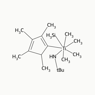 CC1=C(C)C(C)[C]([Ti]([CH3])([CH3])([CH3])([CH3])([SiH3])[NH]C(C)(C)C)=C1C